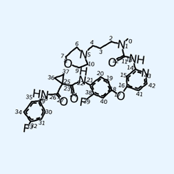 CN(CCCN1CCOCC1)C(=O)Nc1cc(Oc2ccc(NC(=O)C3(C(=O)Nc4ccc(F)cc4)CC3)c(F)c2)ccn1